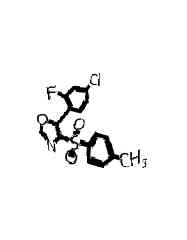 Cc1ccc(S(=O)(=O)C2N=COC2c2ccc(Cl)cc2F)cc1